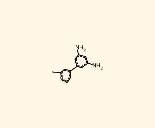 Cc1cc(-c2cc(N)cc(N)c2)ccn1